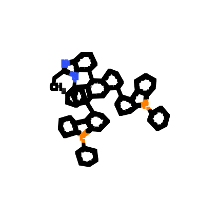 CCc1nc2cccc(-c3c4cccc(-c5cccc6c5c5ccccc5p6-c5ccccc5)c4cc4c(-c5cccc6c5c5ccccc5p6-c5ccccc5)cccc34)c2n1-c1ccccc1